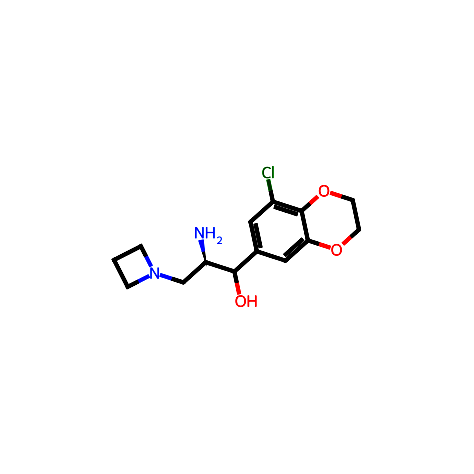 N[C@H](CN1CCC1)C(O)c1cc(Cl)c2c(c1)OCCO2